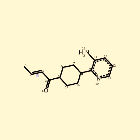 C/C=C/C(=O)C1CCC(c2ncccc2N)CC1